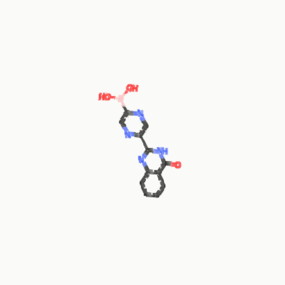 O=c1[nH]c(-c2cnc(B(O)O)cn2)nc2ccccc12